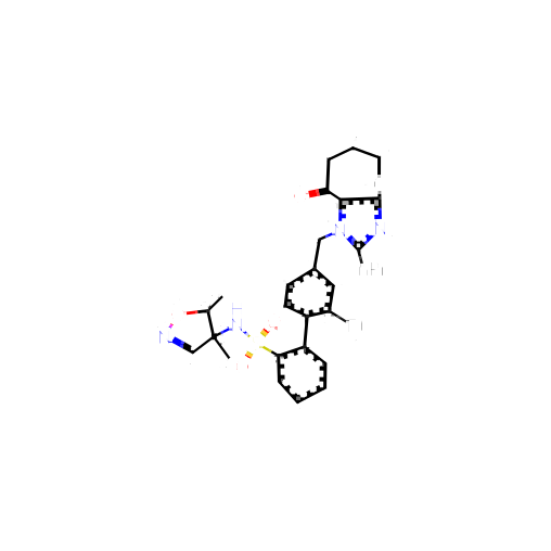 CCCc1nc2c(n1Cc1ccc(-c3ccccc3S(=O)(=O)NC3(C)C=NOC3C)c(CC)c1)C(=O)CCCC2